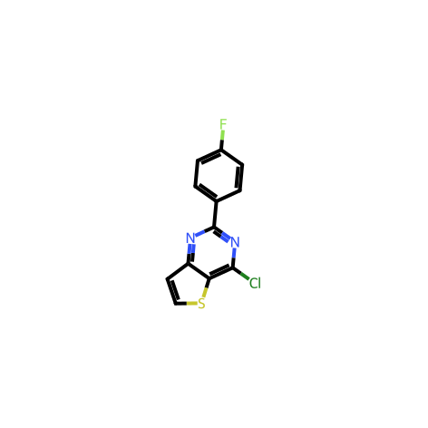 Fc1ccc(-c2nc(Cl)c3sccc3n2)cc1